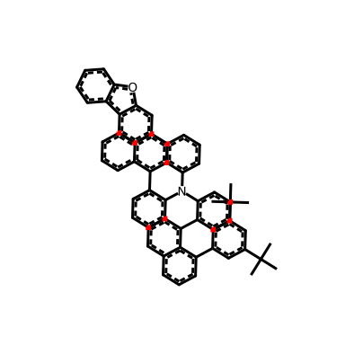 CC(C)(C)c1cc(-c2cccc3cccc(-c4ccccc4N(c4cccc(-c5ccc6c(c5)oc5ccccc56)c4)c4ccccc4-c4cccc5ccccc45)c23)cc(C(C)(C)C)c1